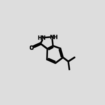 CC(C)c1ccc2c(=O)[nH][nH]c2c1